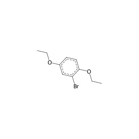 CCOc1ccc(OCC)c(Br)c1